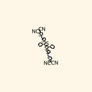 N#CC(C#N)=c1cc/c(=C\c2ccc(-c3sc4c(-c5ccccc5)c(-c5ccc(/C=c6\ccc(=C(C#N)C#N)s6)s5)sc4c3-c3ccccc3)s2)s1